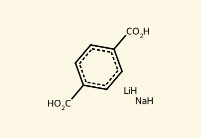 O=C(O)c1ccc(C(=O)O)cc1.[LiH].[NaH]